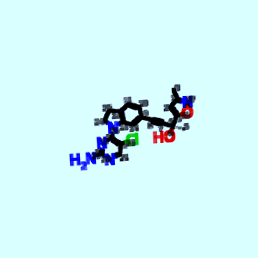 Cc1cc([C@@](C)(O)C#Cc2ccc3c(c2)N(c2nc(N)ncc2Cl)CC3)on1